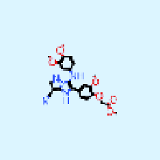 COC(=O)COc1ccc(-c2[nH]c3c(C#N)cnn3c2Nc2ccc(OC)c(OC)c2)cc1OC